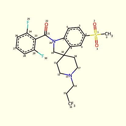 CS(=O)(=O)c1ccc2c(c1)C1(CCN(CCC(F)(F)F)CC1)CN2C(=O)c1c(F)cccc1F